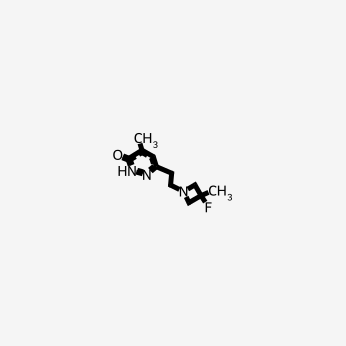 Cc1cc(CCN2CC(C)(F)C2)n[nH]c1=O